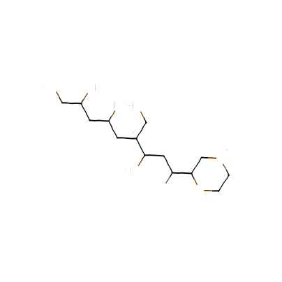 SCC(S)CC(S)CC(CS)C(S)CC(S)C1CSCCS1